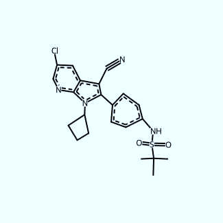 CC(C)(C)S(=O)(=O)Nc1ccc(-c2c(C#N)c3cc(Cl)cnc3n2C2CCC2)cc1